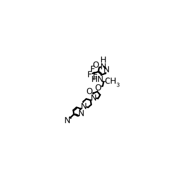 C[C@@H](CO[C@@H]1CCN(C2CCN(c3ccc(C#N)cn3)CC2)C1=O)Nc1cn[nH]c(=O)c1C(F)(F)F